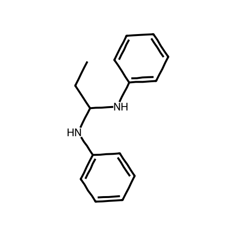 CCC(Nc1ccccc1)Nc1ccccc1